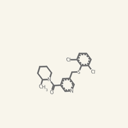 CC1CCCCN1C(=O)c1cncc(CSc2c(Cl)cccc2Cl)c1